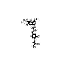 Cc1sc(OC(=O)NCc2ccc(OC[C@H](O)CO)c(Cl)c2)c2c1[C@H]1[C@@H](C2)C1(C)C